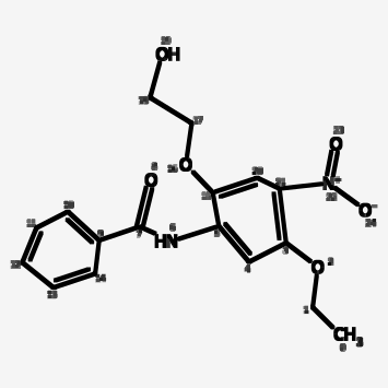 CCOc1cc(NC(=O)c2ccccc2)c(OCCO)cc1[N+](=O)[O-]